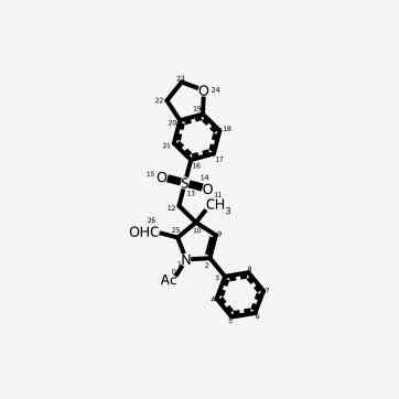 CC(=O)N1C(c2ccccc2)=CC(C)(CS(=O)(=O)c2ccc3c(c2)CCO3)C1C=O